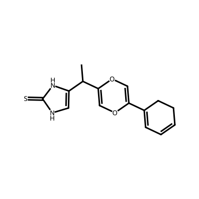 CC(C1=COC(C2=CC=CCC2)=CO1)c1c[nH]c(=S)[nH]1